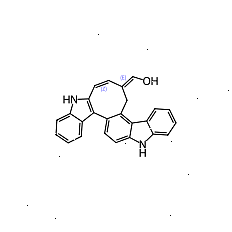 O/C=C1/C=C\c2[nH]c3ccccc3c2-c2ccc3[nH]c4ccccc4c3c2C1